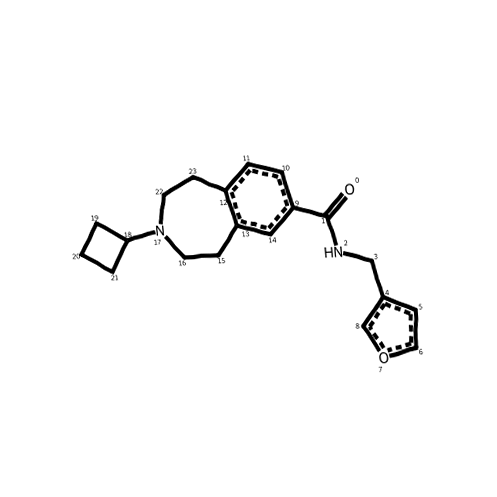 O=C(NCc1ccoc1)c1ccc2c(c1)CCN(C1CCC1)CC2